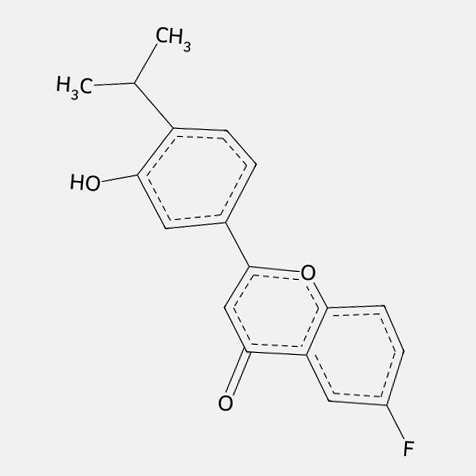 CC(C)c1ccc(-c2cc(=O)c3cc(F)ccc3o2)cc1O